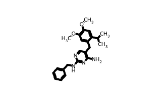 COc1cc(Cc2cnc(NCc3ccccc3)nc2N)c(C(C)C)cc1OC